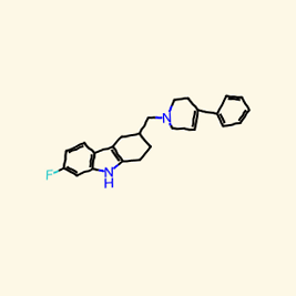 Fc1ccc2c3c([nH]c2c1)CCC(CN1CC=C(c2ccccc2)CC1)C3